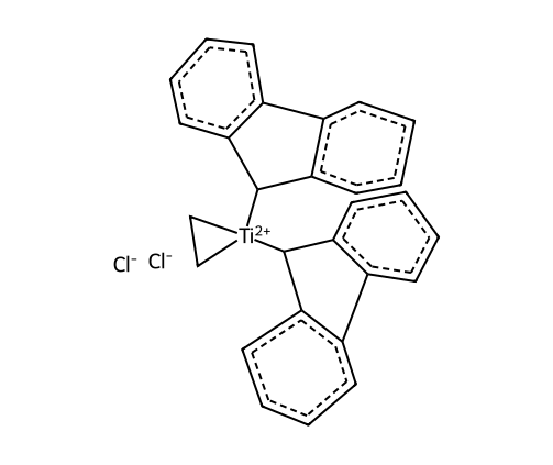 [Cl-].[Cl-].c1ccc2c(c1)-c1ccccc1[CH]2[Ti+2]1([CH]2c3ccccc3-c3ccccc32)[CH2][CH2]1